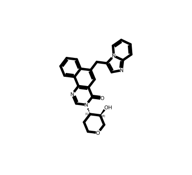 O=c1c2cc(Cc3cnc4ccccn34)c3ccccc3c2ncn1[C@H]1CCOC[C@@H]1O